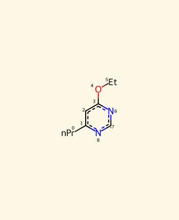 CCCc1cc(OCC)n[c]n1